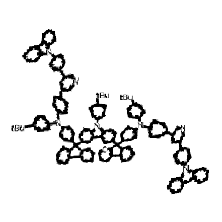 CC(C)(C)c1ccc(N(c2ccc(-c3cncc(-c4ccc(-n5c6ccccc6c6ccccc65)cc4)c3)cc2)c2ccc(C3(c4ccc5c(c4)c4cc(C6(c7ccc(N(c8ccc(-c9cncc(-c%10ccc(-n%11c%12ccccc%12c%12ccccc%12%11)cc%10)c9)cc8)c8ccc(C(C)(C)C)cc8)cc7)c7ccccc7-c7ccccc76)ccc4n5-c4ccc(C(C)(C)C)cc4)c4ccccc4-c4ccccc43)cc2)cc1